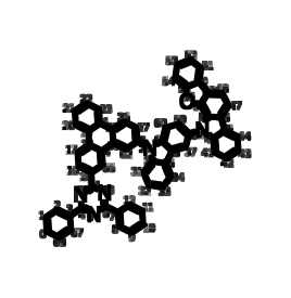 c1ccc(-c2nc(-c3ccccc3)nc(-c3ccc4c5ccccc5c5ccc(-n6c7ccccc7c7cc(-n8c9ccccc9c9ccc%10c%11ccccc%11oc%10c98)ccc76)cc5c4c3)n2)cc1